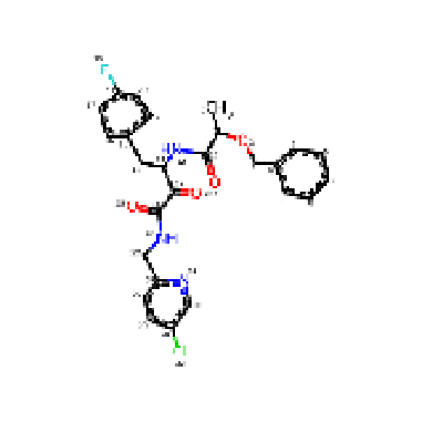 CC(OCc1ccccc1)C(=O)NC(Cc1ccc(F)cc1)C(=O)C(=O)NCc1ccc(Cl)cn1